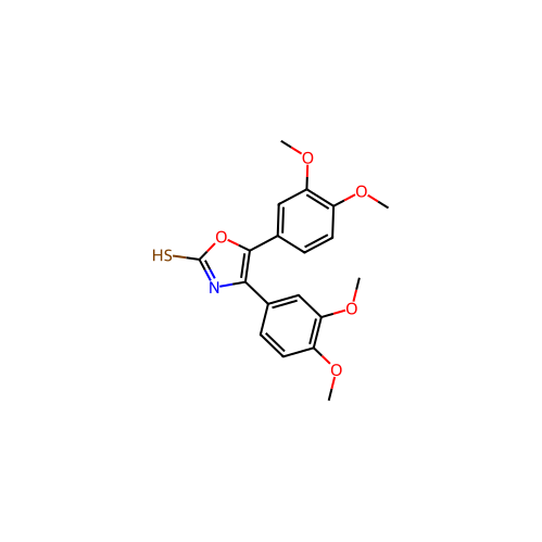 COc1ccc(-c2nc(S)oc2-c2ccc(OC)c(OC)c2)cc1OC